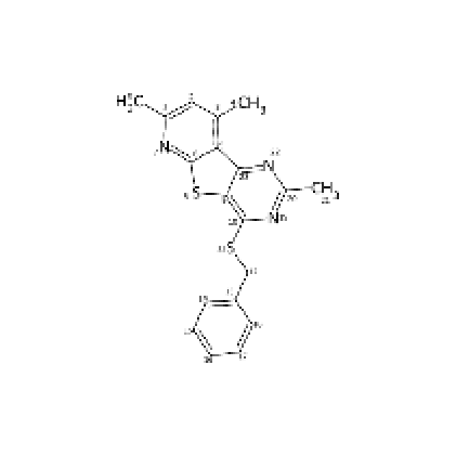 Cc1cc(C)c2c(n1)sc1c(SCc3ccccc3)nc(C)nc12